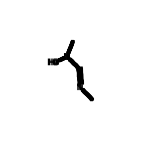 C/N=C/N(C)O